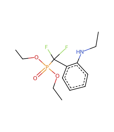 CCNc1ccccc1C(F)(F)P(=O)(OCC)OCC